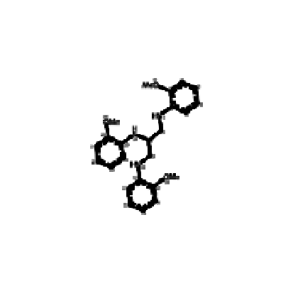 COc1ccccc1NCC(CNc1ccccc1OC)Nc1ccccc1OC